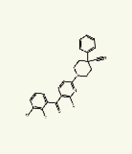 N#CC1(c2ccccc2)CCN(c2cnc(C(=O)c3cccc(Cl)c3Cl)c(Cl)n2)CC1